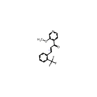 COc1cnccc1C(=O)/C=C/c1ccccc1C(F)(F)F